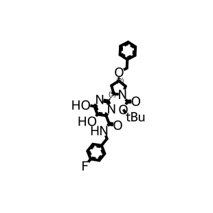 CC(C)(C)OC(=O)N1C[C@H](OCc2ccccc2)C[C@H]1c1nc(O)c(O)c(C(=O)NCc2ccc(F)cc2)n1